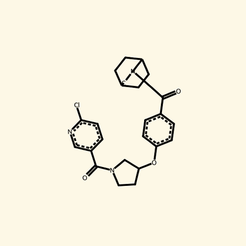 O=C(c1ccc(OC2CCN(C(=O)c3ccc(Cl)nc3)C2)cc1)N1CC2CCC(CC2)C1